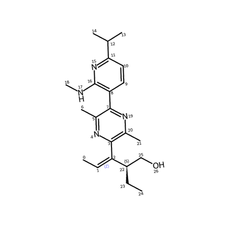 C/C=C(\c1nc(C)c(-c2ccc(C(C)C)nc2NC)nc1C)[C@H](CC)CO